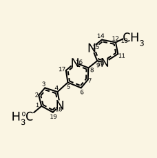 Cc1ccc(-c2ccc(-c3ncc(C)cn3)nc2)nc1